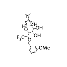 COc1cccc(CO[C@H](C2O[C@@H]3SC(N(C)C)=N[C@@H]3[C@@H](O)[C@@H]2O)C(F)(F)F)c1